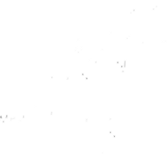 COc1ccc2c(c1)c(CCN(C)C)cn2C(=O)[C@@H](N)Cc1ccccc1